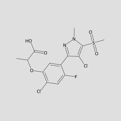 CC(Oc1cc(-c2nn(C)c(S(C)(=O)=O)c2Cl)c(F)cc1Cl)C(=O)O